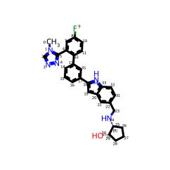 Cn1cnnc1-c1cc(F)ccc1-c1cccc(-c2cc3cc(CN[C@@H]4CCC[C@@H]4O)ccc3[nH]2)c1